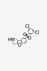 O=S(=O)(c1cc(Cl)cc(Cl)c1)c1ccc2oc3c(c2c1)CNCC3